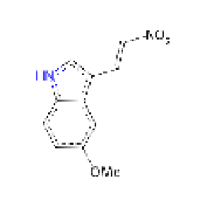 COc1ccc2[nH]cc(/C=C/[N+](=O)[O-])c2c1